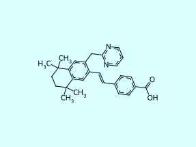 CC1(C)CCC(C)(C)c2cc(Cc3ncccn3)c(/C=C/c3ccc(C(=O)O)cc3)cc21